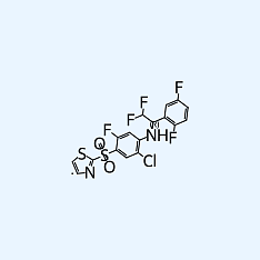 O=S(=O)(c1n[c]cs1)c1cc(Cl)c(N[C@H](c2cc(F)ccc2F)C(F)F)cc1F